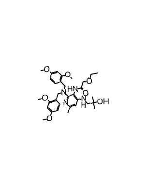 CCOCC(=O)Nc1c(NCC(C)(C)O)cc(C)nc1N(Cc1ccc(OC)cc1OC)Cc1ccc(OC)cc1OC